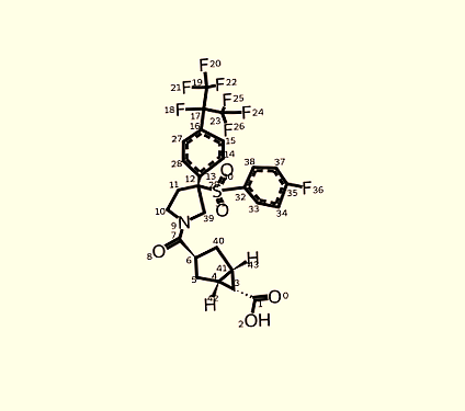 O=C(O)[C@@H]1[C@@H]2C[C@@H](C(=O)N3CC[C@](c4ccc(C(F)(C(F)(F)F)C(F)(F)F)cc4)(S(=O)(=O)c4ccc(F)cc4)C3)C[C@@H]21